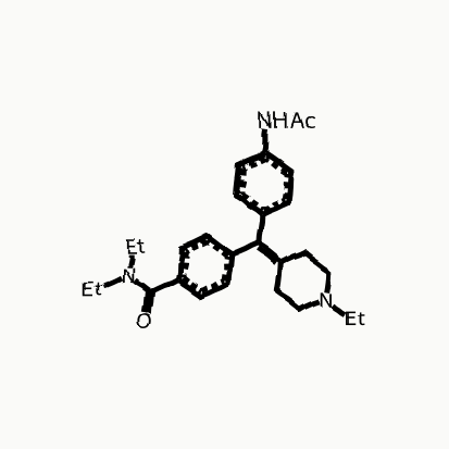 CCN1CCC(=C(c2ccc(NC(C)=O)cc2)c2ccc(C(=O)N(CC)CC)cc2)CC1